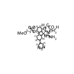 CC(=O)O.COCCS(=O)(=O)Oc1cccc(C2(c3cccc(-c4cncnc4)c3)N=C(N)N(C)C2=O)c1